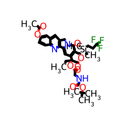 CCC1(OC(=O)CNC(=O)OC(C)(C)C)C(=O)OC([Si](C)(C)CCC(F)(F)F)c2c1cc1n(c2=O)Cc2cc3cc(OC(C)=O)ccc3nc2-1